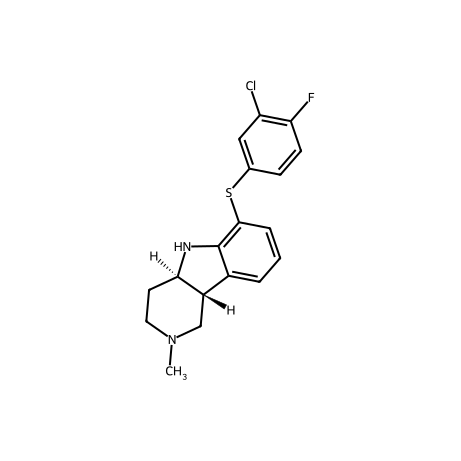 CN1CC[C@H]2Nc3c(Sc4ccc(F)c(Cl)c4)cccc3[C@@H]2C1